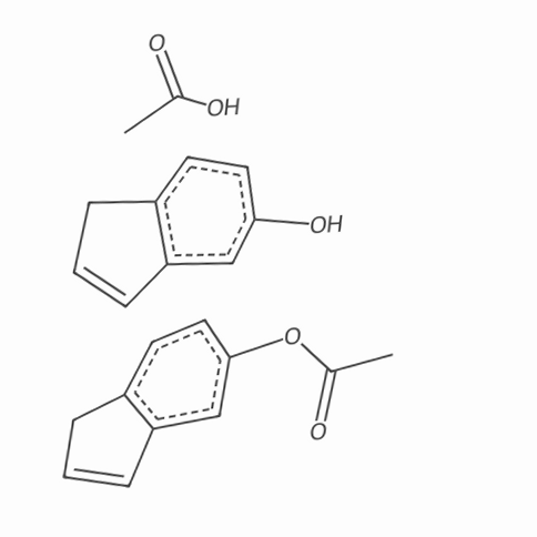 CC(=O)O.CC(=O)Oc1ccc2c(c1)C=CC2.Oc1ccc2c(c1)C=CC2